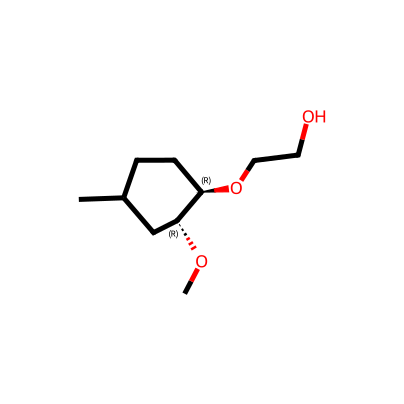 CO[C@@H]1CC(C)CC[C@H]1OCCO